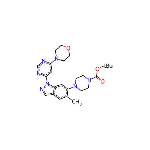 Cc1cc2cnn(-c3cc(N4CCOCC4)ncn3)c2cc1N1CCN(C(=O)OC(C)(C)C)CC1